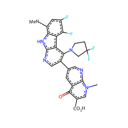 CNc1cc(F)c(F)c2c1[nH]c1ncc(-c3cnc4c(c3)c(=O)c(C(=O)O)cn4C)c(N3CCC(F)(F)C3)c12